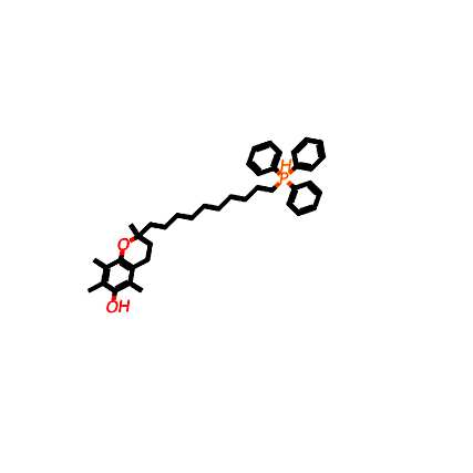 Cc1c(C)c2c(c(C)c1O)CCC(C)(CCCCCCCCCC[PH](c1ccccc1)(c1ccccc1)c1ccccc1)O2